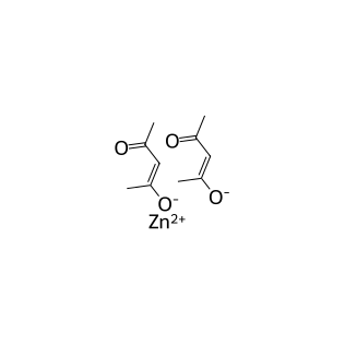 CC(=O)/C=C(\C)[O-].CC(=O)/C=C(\C)[O-].[Zn+2]